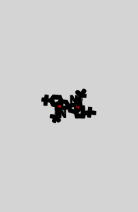 CC(C)(C)c1ccc(CC(Cc2ccc(C(C)(C)C)cc2)(C2=N[C@@H](C(C)(C)C)CO2)C2=N[C@@H](C(C)(C)C)CO2)cc1